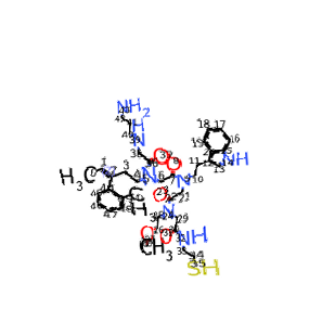 C/C=C(/CCN(CC(=O)N(CCc1c[nH]c2ccccc12)CC(=O)N(CCOC)CC(=O)NCCS)C(=O)CNCCCN)c1ccccc1C